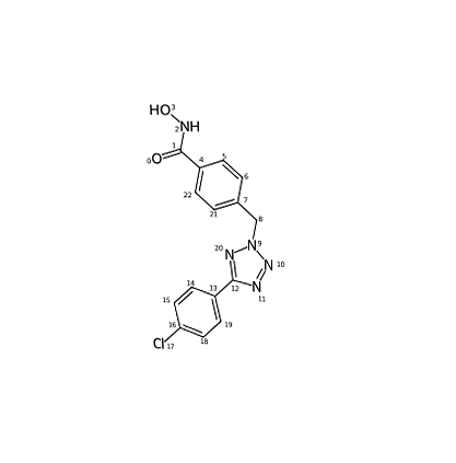 O=C(NO)c1ccc(Cn2nnc(-c3ccc(Cl)cc3)n2)cc1